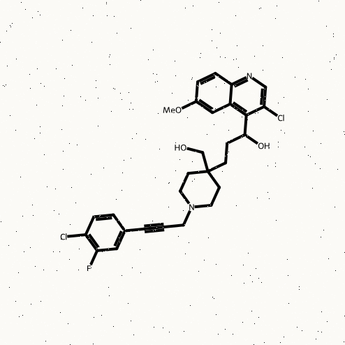 COc1ccc2ncc(Cl)c(C(O)CCC3(CO)CCN(CC#Cc4ccc(Cl)c(F)c4)CC3)c2c1